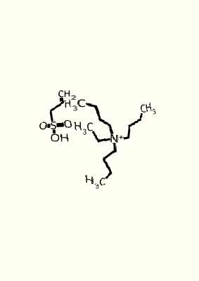 C=CCS(=O)(=O)O.CCCC[N+](CC)(CCCC)CCCC